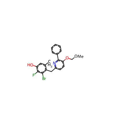 COCOc1ccc(Cc2c(C)cc(O)c(F)c2Br)nc1-c1ccccc1